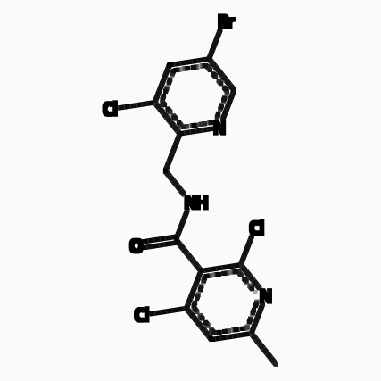 Cc1cc(Cl)c(C(=O)NCc2ncc(Br)cc2Cl)c(Cl)n1